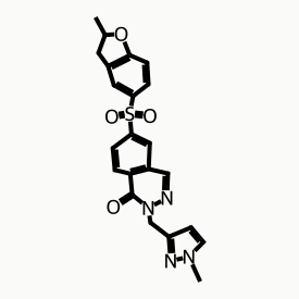 CC1Cc2cc(S(=O)(=O)c3ccc4c(=O)n(Cc5ccn(C)n5)ncc4c3)ccc2O1